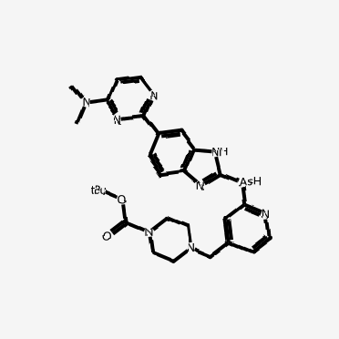 CN(C)c1ccnc(-c2ccc3nc([AsH]c4cc(CN5CCN(C(=O)OC(C)(C)C)CC5)ccn4)[nH]c3c2)n1